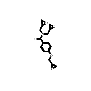 O=C(c1ccc(OCC2CO2)cc1)N(CC1CO1)CC1CO1